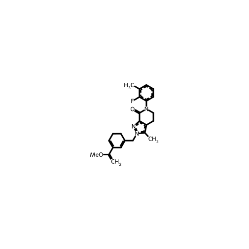 C=C(OC)C1=CCCC(Cn2nc3c(c2C)CCN(c2cccc(C)c2F)C3=O)=C1